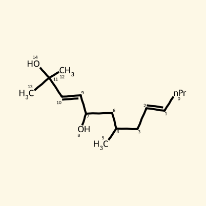 CCCC=CCC(C)CC(O)C=CC(C)(C)O